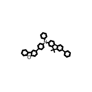 CC1(C)c2cc(-c3ccccc3)ccc2-c2ccc(N(c3ccccc3)c3ccc(-c4ccc5oc6ccccc6c5c4)cc3)cc21